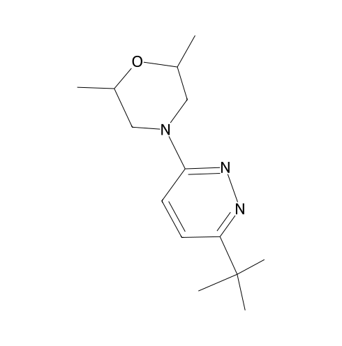 CC1CN(c2ccc(C(C)(C)C)nn2)CC(C)O1